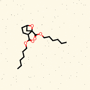 CCCCCCOC(=O)C1CCC2CC1(C(=O)OCCCCCC)O2